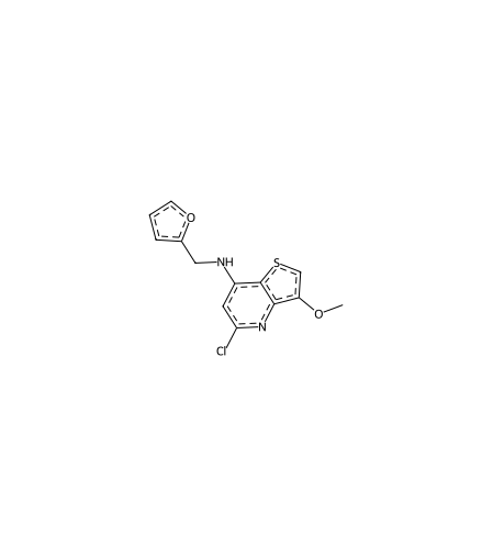 COc1csc2c(NCc3ccco3)cc(Cl)nc12